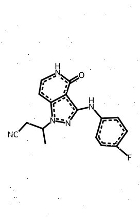 CC(CC#N)n1nc(Nc2ccc(F)cc2)c2c(=O)[nH]ccc21